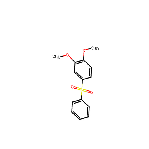 O=COc1ccc(S(=O)(=O)c2ccccc2)cc1OC=O